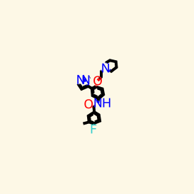 Cc1cc(C(=O)Nc2ccc(OCCN3CCCCC3)c(-c3ccnn3C)c2)ccc1F